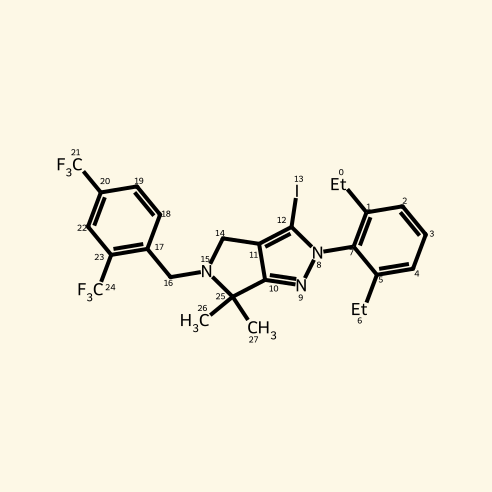 CCc1cccc(CC)c1-n1nc2c(c1I)CN(Cc1ccc(C(F)(F)F)cc1C(F)(F)F)C2(C)C